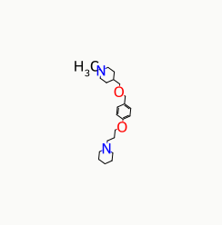 CN1CCC(COCc2ccc(OCCCN3CCCCC3)cc2)CC1